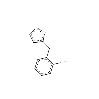 COc1ccccc1Cc1cc[nH]n1